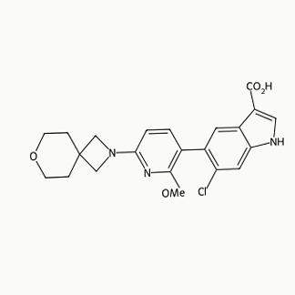 COc1nc(N2CC3(CCOCC3)C2)ccc1-c1cc2c(C(=O)O)c[nH]c2cc1Cl